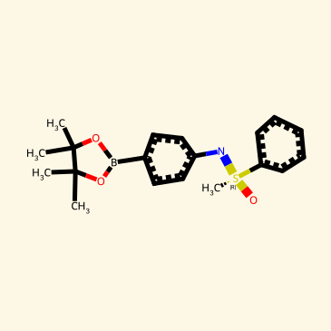 CC1(C)OB(c2ccc(N=[S@](C)(=O)c3ccccc3)cc2)OC1(C)C